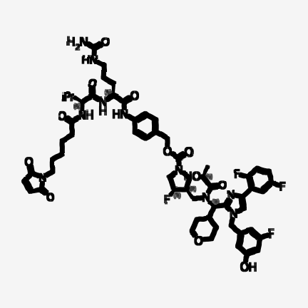 CC(C)[C@H](NC(=O)CCCCCN1C(=O)C=CC1=O)C(=O)N[C@@H](CCCNC(N)=O)C(=O)Nc1ccc(COC(=O)N2C[C@@H](CN(C(=O)[C@H](C)O)[C@@H](c3nc(-c4cc(F)ccc4F)cn3Cc3cc(O)cc(F)c3)C3CCOCC3)[C@@H](F)C2)cc1